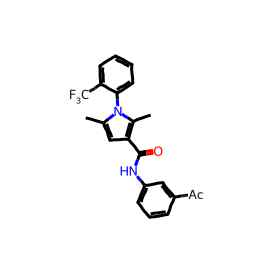 CC(=O)c1cccc(NC(=O)c2cc(C)n(-c3ccccc3C(F)(F)F)c2C)c1